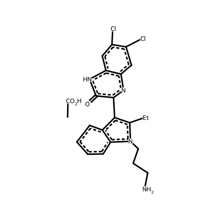 CC(=O)O.CCc1c(-c2nc3cc(Cl)c(Cl)cc3[nH]c2=O)c2ccccc2n1CCCN